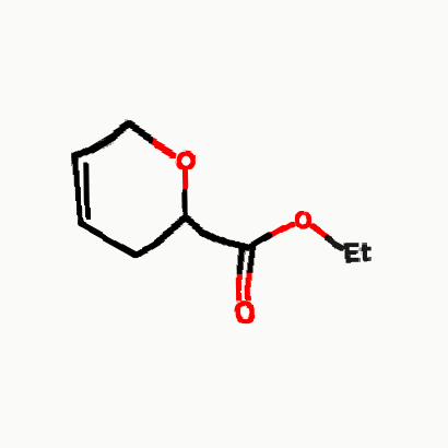 CCOC(=O)C1CC=CCO1